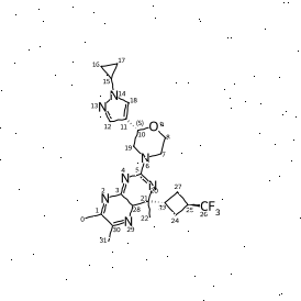 CC1=NC2=NC(N3CCO[C@@H](c4cnn(C5CC5)c4)C3)=NC(C)([C@H]3C[C@H](C(F)(F)F)C3)C2N=C1C